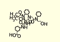 CC(C)(C)C(=O)N1CC(NC(=O)Nc2cccc(C(=O)O)c2)C(=O)N(CC(=O)N(CCO)c2ccccc2)c2ccccc21